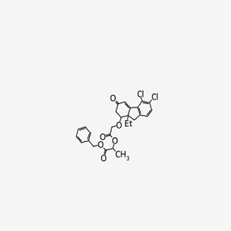 CCC12Cc3ccc(Cl)c(Cl)c3C1=CC(=O)CC2OCC(=O)OC(C)C(=O)OCc1ccccc1